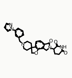 O=C1CCC(N2Cc3c(ccc4c3OCC43CCN(Cc4cccc(-n5cccn5)c4)CC3)C2=O)C(=O)N1